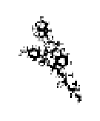 CCOC(=O)CNC(=O)NCCC(C)(C)CN(C[C@@H](O)[C@H](Cc1ccccc1)NC(=O)O[C@@H]1CO[C@@H]2OCC[C@@H]21)S(=O)(=O)c1ccc(OC)cc1